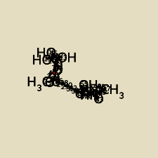 COc1ccc(C2CC(c3cc(CO)c(CO)c(CO)c3)=NO2)cc1OCCCCCCCCCOc1ccc(C2NC(=O)c3cc(C)ccc3N2)cc1CO